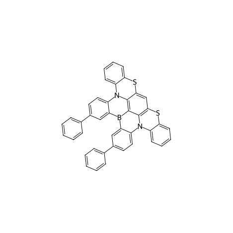 c1ccc(-c2ccc3c(c2)B2c4cc(-c5ccccc5)ccc4-n4c5ccccc5sc5cc6sc7ccccc7n-3c6c2c54)cc1